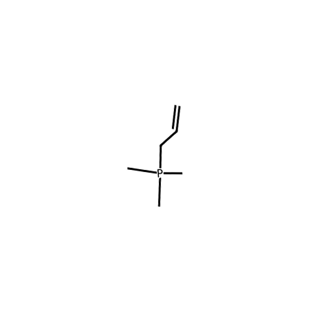 C=CC[P](C)(C)C